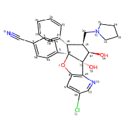 N#Cc1ccc([C@@]23Oc4cc(Cl)cnc4[C@]2(O)[C@H](O)[C@H](CN2CCCC2)[C@H]3c2ccccc2)cc1